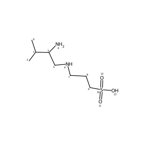 CC(C)C(N)CNCCCS(=O)(=O)O